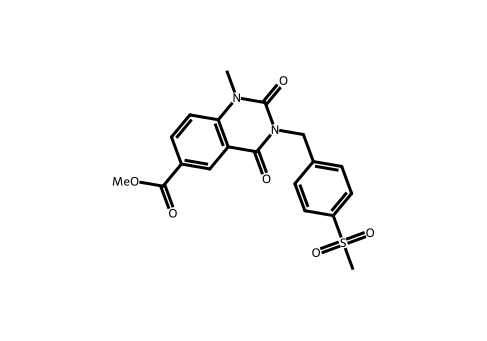 COC(=O)c1ccc2c(c1)c(=O)n(Cc1ccc(S(C)(=O)=O)cc1)c(=O)n2C